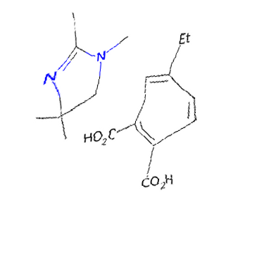 CC1=NC(C)(C)CN1C.CCc1ccc(C(=O)O)c(C(=O)O)c1